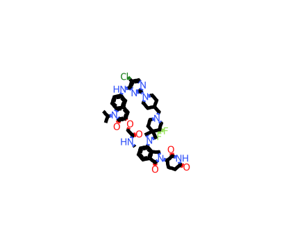 CNC(=O)COc1cc2cc(Nc3nc(N4CCC(CN5CCC6(CN(c7cccc8c7CN(C7CCC(=O)NC7=O)C8=O)C6)C(F)(F)C5)CC4)ncc3Cl)ccc2n(C(C)C)c1=O